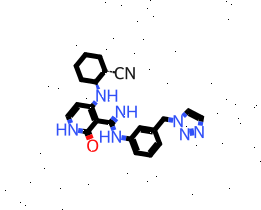 N#C[C@H]1CCCC[C@@H]1Nc1cc[nH]c(=O)c1C(=N)Nc1cccc(Cn2ccnn2)c1